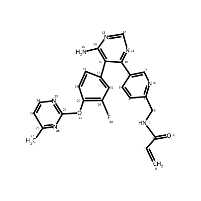 C=CC(=O)NCc1ccc(-c2ncnc(N)c2-c2ccc(Oc3nccc(C)n3)c(F)c2)cn1